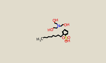 CCCCCCCCCc1ccccc1S(=O)(=O)O.OCCN(CCO)CCO